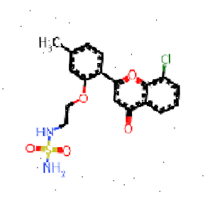 Cc1ccc(-c2cc(=O)c3cccc(Cl)c3o2)c(OCCNS(N)(=O)=O)c1